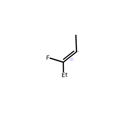 C/[C]=C(\F)CC